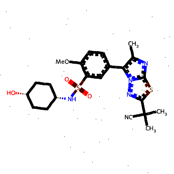 COc1ccc(-c2c(C)nc3sc(C(C)(C)C#N)nn23)cc1S(=O)(=O)N[C@H]1CC[C@@H](O)CC1